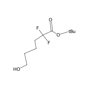 CC(C)(C)OC(=O)C(F)(F)CCCCO